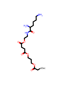 CCCCCCCCCCCC(=O)OCCCOC(=O)CCC(=O)OCCNC(=O)C(N)CCCCN